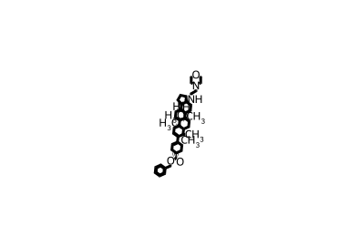 CC1(C)C(C2=CC[C@H](C(=O)OCc3ccccc3)CC2)=CC[C@@]2(C)C1CC[C@]1(C)C2CC[C@@H]2[C@H]3CCC[C@]3(NCCN3CCOCC3)CC[C@]21C